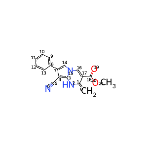 C=C1Nc2c(C#N)c(-c3ccccc3)cn2C=C1C(=O)OC